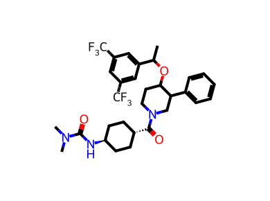 CC(OC1CCN(C(=O)[C@H]2CC[C@H](NC(=O)N(C)C)CC2)CC1c1ccccc1)c1cc(C(F)(F)F)cc(C(F)(F)F)c1